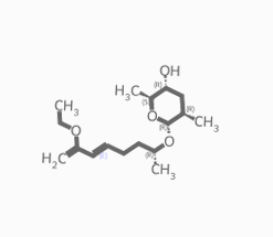 C=C(/C=C/CC[C@@H](C)O[C@@H]1O[C@@H](C)[C@H](O)C[C@H]1C)OCC